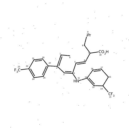 C\C=C(/C=C(\C=C\C(CC(C)C)C(=O)O)NC1=CC(C(F)(F)F)CC=C1)c1ccc(C(F)(F)F)cc1